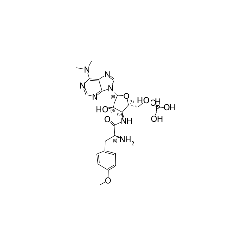 COc1ccc(C[C@H](N)C(=O)N[C@H]2[C@@H](O)[C@H](n3cnc4c(N(C)C)ncnc43)O[C@@H]2CO)cc1.O=[PH](O)O